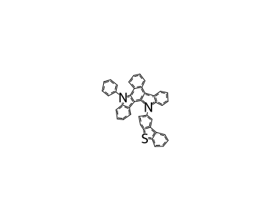 c1ccc(-n2c3ccccc3c3c2c2ccccc2c2c4ccccc4n(-c4ccc5sc6ccccc6c5c4)c23)cc1